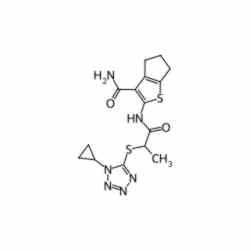 CC(Sc1nnnn1C1CC1)C(=O)Nc1sc2c(c1C(N)=O)CCC2